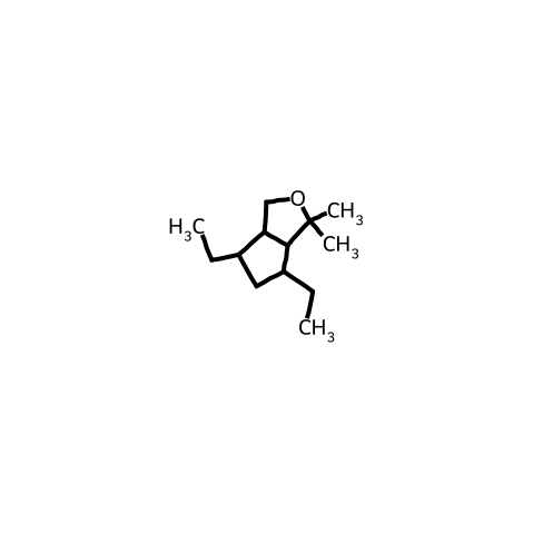 CCC1CC(CC)C2C1COC2(C)C